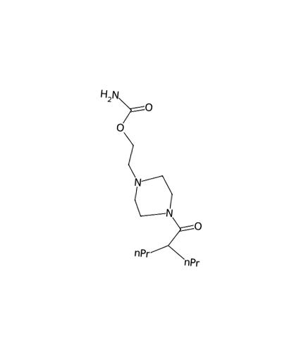 CCCC(CCC)C(=O)N1CCN(CCOC(N)=O)CC1